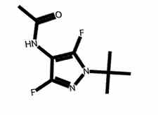 CC(=O)Nc1c(F)nn(C(C)(C)C)c1F